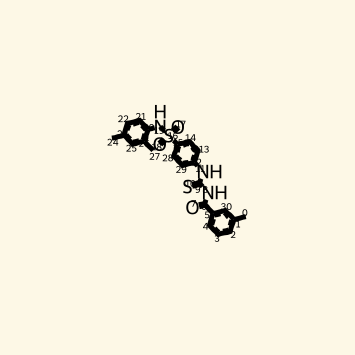 Cc1cccc(C(=O)NC(=S)Nc2ccc(S(=O)(=O)Nc3ccc(C)cc3C)cc2)c1